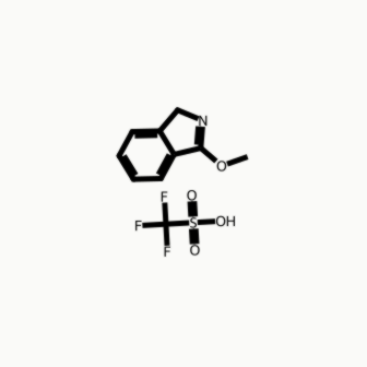 COC1=NCc2ccccc21.O=S(=O)(O)C(F)(F)F